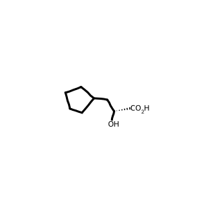 O=C(O)[C@H](O)CC1CCCC1